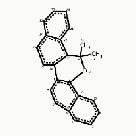 CC1(C)Oc2c(ccc3ccccc23)-c2ccc3ccccc3c21